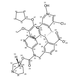 COc1ccc([C@H](Cc2c(Cl)c[n+](O)cc2Cl)c2cc(CN(C(=O)O[C@H]3CN4CCC3CC4)c3cccnc3)ccc2C(=O)[O-])cc1OC1CCCC1